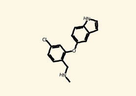 CNCc1ccc(Cl)cc1Oc1ccc2[nH]ccc2c1